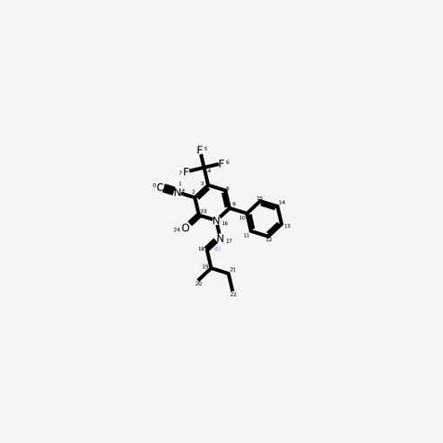 [C-]#[N+]c1c(C(F)(F)F)cc(-c2ccccc2)n(/N=C/C(C)CC)c1=O